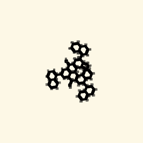 O=c1c2cc(-c3cccc4ccccc34)cc3c(=O)c4cc(-c5cccc6ccccc56)c5ccccc5c4n(c23)c2c1cc(C1=C3C=CC=CC3CC=C1)c1ccccc12